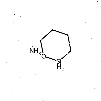 C1CC[SiH2]OC1.N